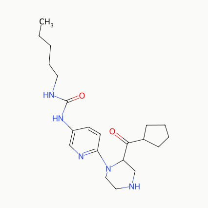 CCCCCNC(=O)Nc1ccc(N2CCNCC2C(=O)C2CCCC2)nc1